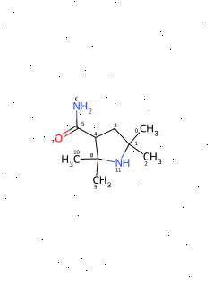 CC1(C)CC(C(N)=O)C(C)(C)N1